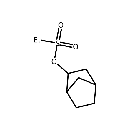 CCS(=O)(=O)OC1CC2CCC1C2